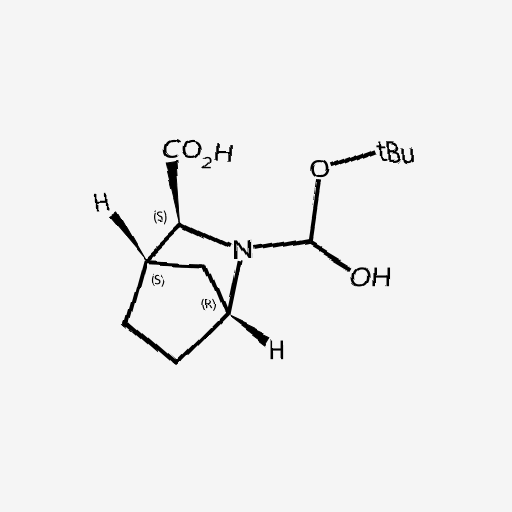 CC(C)(C)OC(O)N1[C@@H]2CC[C@@H](C2)[C@H]1C(=O)O